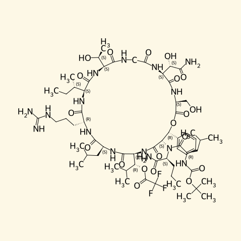 CCC[C@@H](C(N)=O)N(C(=O)[C@@H](CC(C)C)NC(=O)OC(C)(C)C)[C@@H]1C(=O)N[C@@H]([C@H](OC(=O)C(F)(F)F)C(C)C)C(=O)N[C@@H](CC(C)C)C(=O)N[C@H](CCCNC(=N)N)C(=O)N[C@@H]([C@@H](C)CC)C(=O)N[C@@H]([C@H](C)O)C(=O)NCC(=O)N[C@@H]([C@H](O)C(N)=O)C(=O)N[C@@H](CO)C(=O)O[C@@H]1c1ccccc1